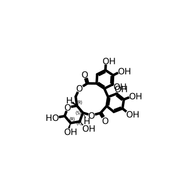 O=C1OC[C@H]2OC(O)[C@H](O)[C@@H](O)[C@@H]2OC(=O)c2cc(O)c(O)c(O)c2-c2c1cc(O)c(O)c2O